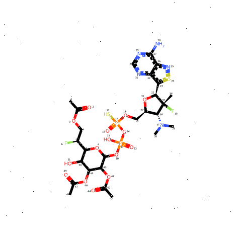 CC(=O)OC[C@H](F)C1OC(OP(=O)(O)OP(=O)(S)OC[C@H]2O[C@@H](c3snc4c(N)ncnc34)[C@](C)(F)[C@@H]2N(C)C)C(OC(C)=O)C(OC(C)=O)C1O